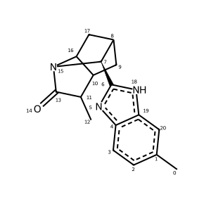 Cc1ccc2nc([C@@H]3C4CC5C(C)C(=O)N3C5C4)[nH]c2c1